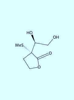 CS[C@@]1([C@@H](O)CO)CCOC1=O